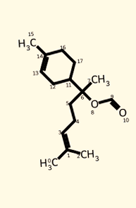 CC(C)=CCCC(C)(OC=O)C1CC=C(C)CC1